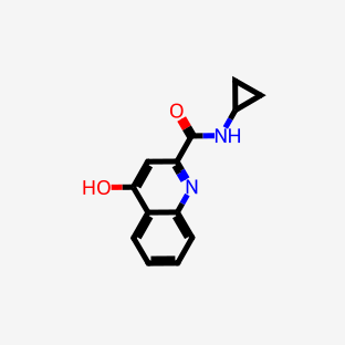 O=C(NC1CC1)c1cc(O)c2ccccc2n1